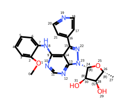 COc1ccccc1Nc1ncnc2c1c(-c1ccncc1)nn2[C@@H]1O[C@H](C)[C@@H](O)[C@H]1O